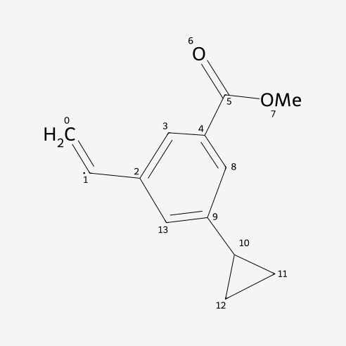 C=[C]c1cc(C(=O)OC)cc(C2CC2)c1